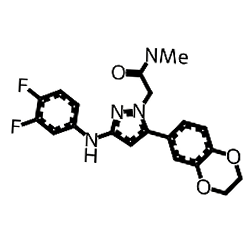 CNC(=O)Cn1nc(Nc2ccc(F)c(F)c2)cc1-c1ccc2c(c1)OCCO2